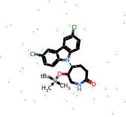 CC(C)(C)[Si](C)(C)OC1CNC(=O)CC[C@H]1n1c2ccc(Cl)cc2c2cc(Cl)ccc21